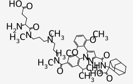 COc1cccc(OC)c1-c1cc(C(=O)NC2(C(=O)O)C3CC4CC(C3)CC2C4)nn1-c1ccc(C(=O)N(C)CCCN(C)CCCN(C)C(=O)[C@@H](N)CCC(=O)O)cc1C(C)C